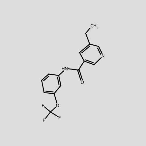 CCc1cncc(C(=O)Nc2cccc(OC(F)(F)F)c2)c1